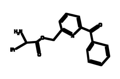 CC(C)C(N)C(=O)OCc1cccc(C(=O)c2ccccc2)n1